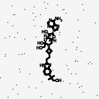 CC(C)(CO)c1ccc2[nH]c(CCC3CC(N4C[C@H]5O[C@@H](n6cnc7c(N)ncnc76)[C@H](O)[C@@H]5OC4(O)CO)C3)nc2c1